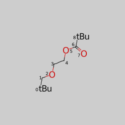 CC(C)(C)COCCOC(=O)C(C)(C)C